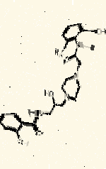 Cc1cccc(C)c1NC(=O)CN1CCN(CC(O)CNC(=O)c2ccccc2O)CC1